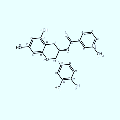 C[n+]1cccc(C(=O)O[C@@H]2Cc3c(O)cc(O)cc3O[C@H]2c2ccc(O)c(O)c2)c1